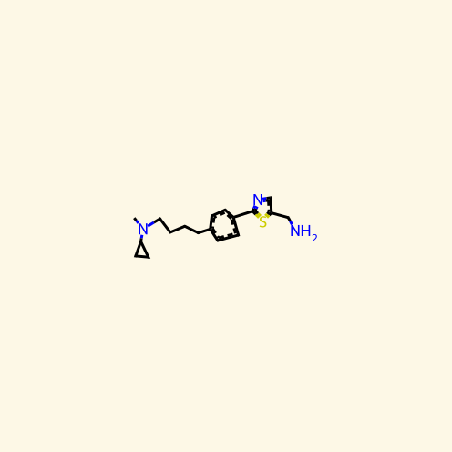 CN(CCCCc1ccc(-c2ncc(CN)s2)cc1)C1CC1